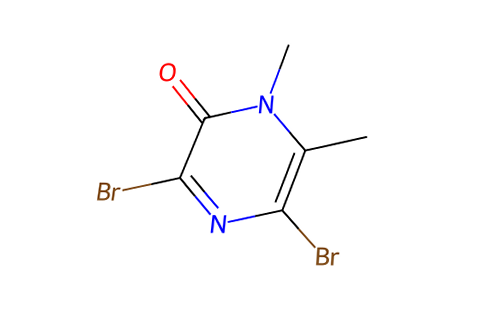 Cc1c(Br)nc(Br)c(=O)n1C